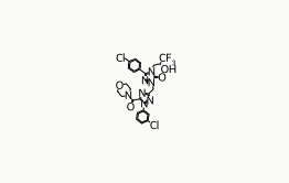 O=C(c1nc(Cn2nc(-c3ccc(Cl)cc3)n(C[C@H](O)C(F)(F)F)c2=O)nn1-c1cccc(Cl)c1)N1CCOCC1